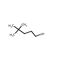 [CH2]CCCC[CH]C(C)(C)C